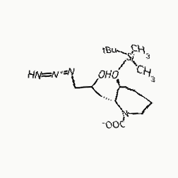 CC(C)(C)[Si](C)(C)O[C@H]1CCCN(C(=O)[O-])[C@@H]1CC(O)CN=[N+]=N